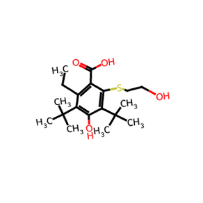 CCc1c(C(=O)O)c(SCCO)c(C(C)(C)C)c(O)c1C(C)(C)C